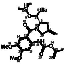 C=C1C[C@@H](C(O[SiH](C)C)C(C)(C)C)N(C(=O)c2cc(OC)c(OC)cc2NC(=O)OC(=C)C)C1